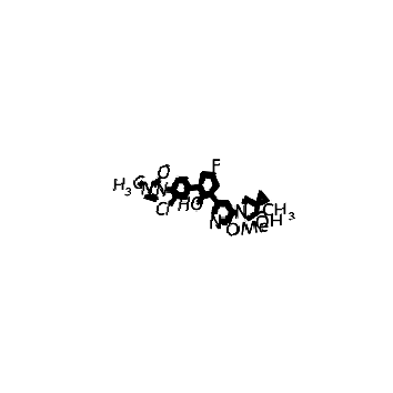 COc1ncc(-c2cc(F)cc(-c3ccc(-n4ccn(C)c4=O)c(Cl)c3)c2O)cc1N1CC2(CC2)[C@](C)(O)C1